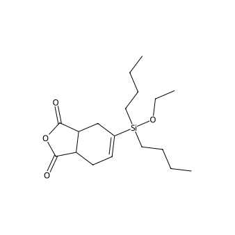 CCCC[Si](CCCC)(OCC)C1=CCC2C(=O)OC(=O)C2C1